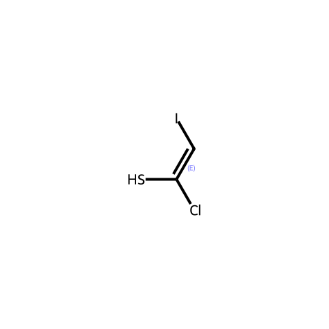 S/C(Cl)=C\I